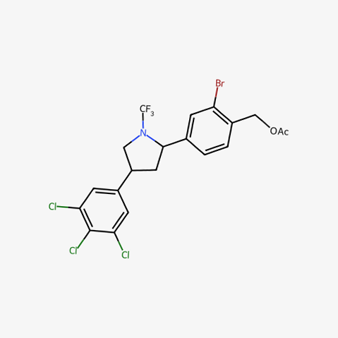 CC(=O)OCc1ccc(C2CC(c3cc(Cl)c(Cl)c(Cl)c3)CN2C(F)(F)F)cc1Br